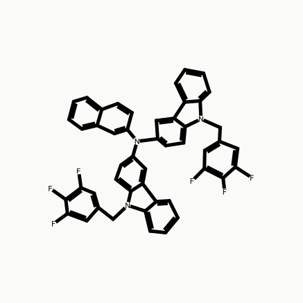 Fc1cc(Cn2c3ccccc3c3cc(N(c4ccc5ccccc5c4)c4ccc5c(c4)c4ccccc4n5Cc4cc(F)c(F)c(F)c4)ccc32)cc(F)c1F